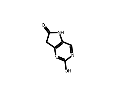 O=C1Cc2nc(O)ncc2N1